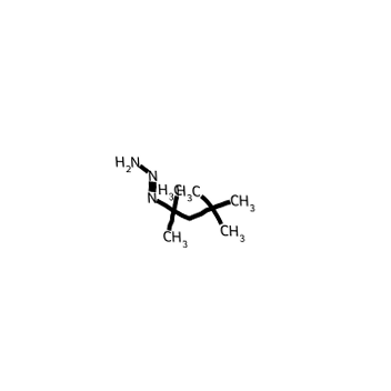 CC(C)(C)CC(C)(C)N=NN